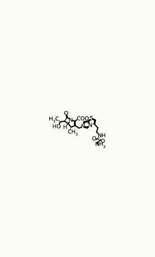 C[C@@H](O)[C@H]1C(=O)N2C(C(=O)[O-])=C(Cn3cc4scc(CCNS(N)(=O)=O)[n+]4c3)[C@H](C)[C@H]12